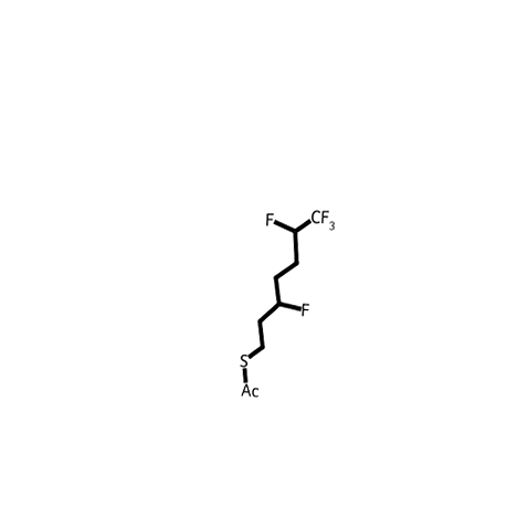 CC(=O)SCCC(F)CCC(F)C(F)(F)F